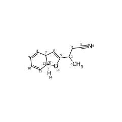 CC(CC#N)C1=CC2C=CC=C[C@@H]2O1